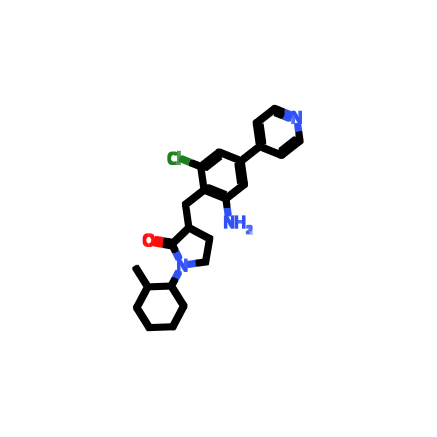 CC1CCCCC1N1CCC(Cc2c(N)cc(-c3ccncc3)cc2Cl)C1=O